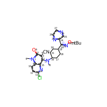 CN(c1c(C#N)c(=O)n(C)c2ccc(Cl)nc12)C1CCC(/C(=N/OC(C)(C)C)c2cnccn2)CC1